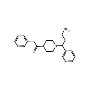 NCCC(c1ccccc1)N1CCC(C(=O)Cc2ccccc2)CC1